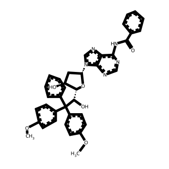 COc1ccc(C(c2ccccc2)(c2ccc(OC)cc2)C(O)[C@H]2O[C@@H](n3cnc4c(NC(=O)c5ccccc5)ncnc43)C[C@@H]2O)cc1